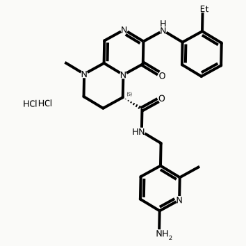 CCc1ccccc1Nc1ncc2n(c1=O)[C@H](C(=O)NCc1ccc(N)nc1C)CCN2C.Cl.Cl